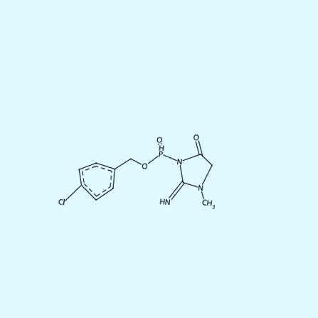 CN1CC(=O)N([PH](=O)OCc2ccc(Cl)cc2)C1=N